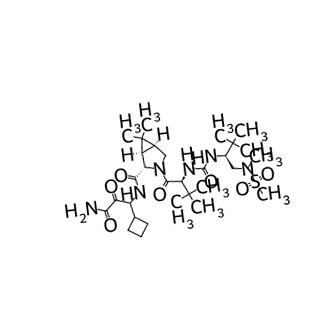 CN(C[C@@H](NC(=O)N[C@H](C(=O)N1C[C@H]2[C@@H]([C@H]1C(=O)NC(C(=O)C(N)=O)C1CCC1)C2(C)C)C(C)(C)C)C(C)(C)C)S(C)(=O)=O